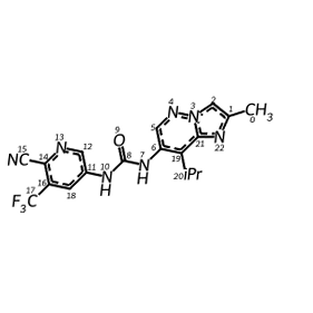 Cc1cn2ncc(NC(=O)Nc3cnc(C#N)c(C(F)(F)F)c3)c(C(C)C)c2n1